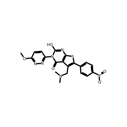 COc1ccc(-n2c(O)nc3sc(-c4ccc([N+](=O)[O-])cc4)c(CN(C)C)c3c2=O)nn1